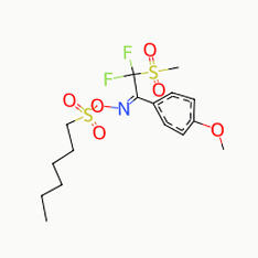 CCCCCCS(=O)(=O)ON=C(c1ccc(OC)cc1)C(F)(F)S(C)(=O)=O